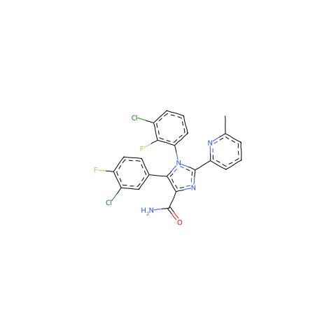 Cc1cccc(-c2nc(C(N)=O)c(-c3ccc(F)c(Cl)c3)n2-c2cccc(Cl)c2F)n1